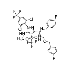 CNc1c(S(=O)(=O)C(F)(F)F)c(C(=NCc2ccc(F)cc2)NCOCc2ccc(F)cc2)nn1-c1c(Cl)cc(C(F)(F)F)cc1Cl